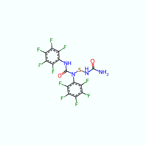 NC(=O)NSN(C(=O)Nc1c(F)c(F)c(F)c(F)c1F)c1c(F)c(F)c(F)c(F)c1F